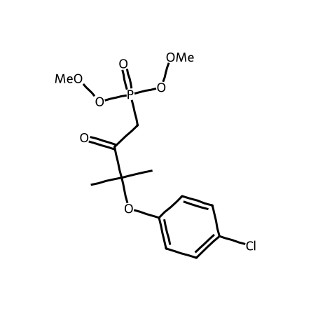 COOP(=O)(CC(=O)C(C)(C)Oc1ccc(Cl)cc1)OOC